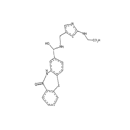 O=C(O)CNc1ncc(CNC(O)c2ccc3c(c2)NC(=O)c2ccccc2S3)s1